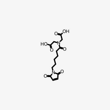 O=C(O)CN(CC(=O)O)C(=O)CCCCCN1C(=O)C=CC1=O